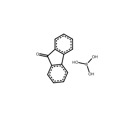 O=C1c2ccccc2-c2ccccc21.OB(O)O